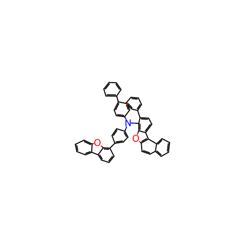 c1ccc(-c2ccc(N(c3ccc(-c4cccc5c4oc4ccccc45)cc3)c3c(-c4ccccc4)ccc4c3oc3ccc5ccccc5c34)cc2)cc1